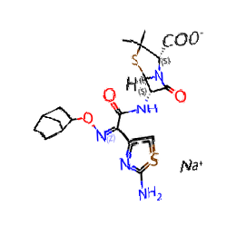 CC1(C)S[C@@H]2[C@@H](NC(=O)/C(=N\OC3CC4CCC3C4)c3csc(N)n3)C(=O)N2[C@H]1C(=O)[O-].[Na+]